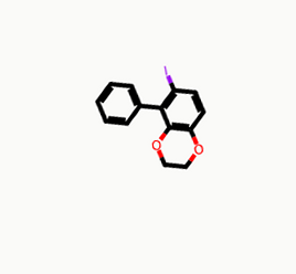 Ic1ccc2c(c1-c1ccccc1)OCCO2